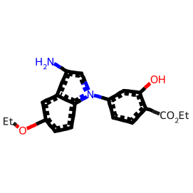 CCOC(=O)c1ccc(-n2cc(N)c3cc(OCC)ccc32)cc1O